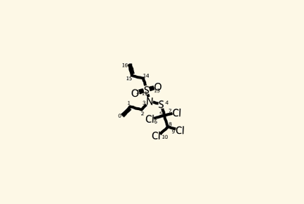 C=CCN(SC(Cl)(Cl)C(Cl)Cl)S(=O)(=O)CC=C